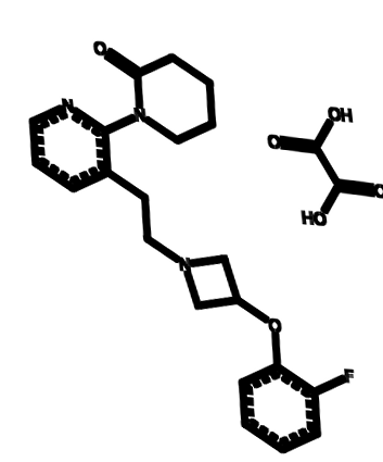 O=C(O)C(=O)O.O=C1CCCCN1c1ncccc1CCN1CC(Oc2ccccc2F)C1